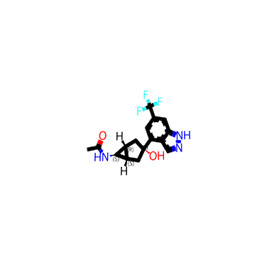 CC(=O)N[C@@H]1[C@@H]2C[C@@](O)(c3cc(C(F)(F)F)cc4[nH]ncc34)C[C@@H]21